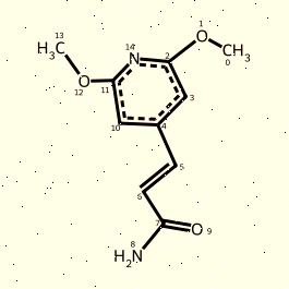 COc1cc(C=CC(N)=O)cc(OC)n1